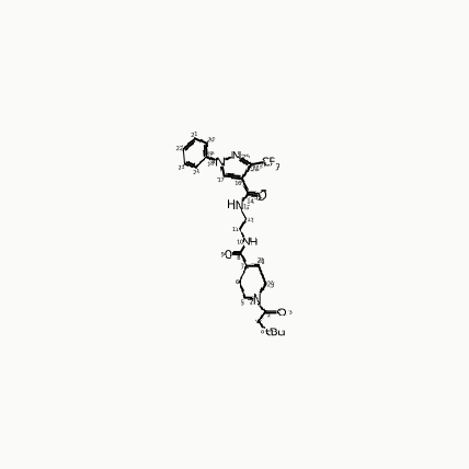 CC(C)(C)CC(=O)N1CCC(C(=O)NCCNC(=O)c2cn(-c3ccccc3)nc2C(F)(F)F)CC1